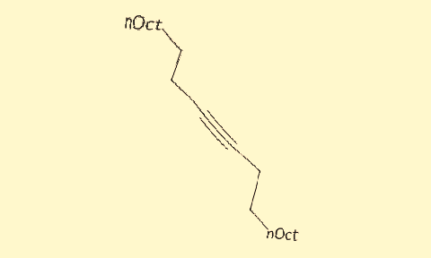 [CH2]CCCCCCCCCC#CCCCCCCCCC[CH2]